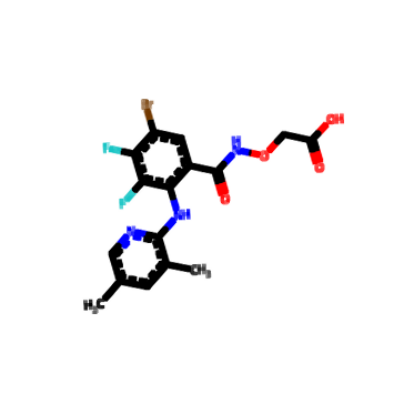 Cc1cnc(Nc2c(C(=O)NOCC(=O)O)cc(Br)c(F)c2F)c(C)c1